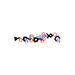 CC[C@@H](Oc1ccc(C(=O)NS(=O)(=O)N2CC3(CC(OC4CCN(C)CC4)C3)C2)c(F)c1F)c1ccc(OCC2CC2)cn1